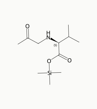 CC(=O)CN[C@H](C(=O)O[Si](C)(C)C)C(C)C